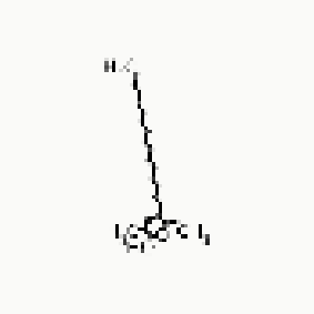 CCCCCCCCCCCCCCCCC(C=C(C)C(=O)O)CCC